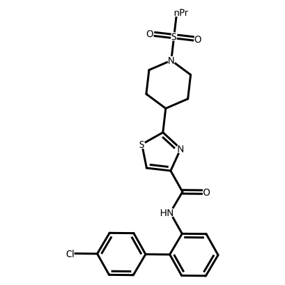 CCCS(=O)(=O)N1CCC(c2nc(C(=O)Nc3ccccc3-c3ccc(Cl)cc3)cs2)CC1